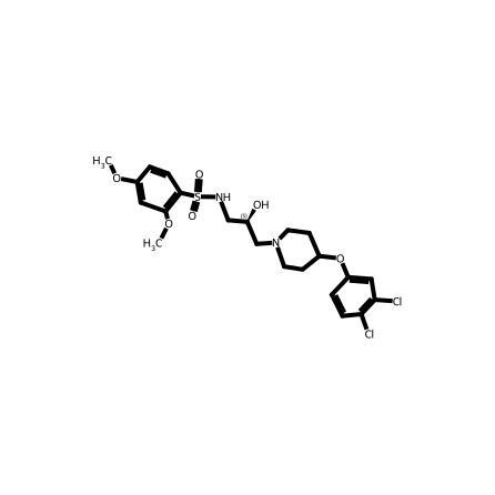 COc1ccc(S(=O)(=O)NC[C@@H](O)CN2CCC(Oc3ccc(Cl)c(Cl)c3)CC2)c(OC)c1